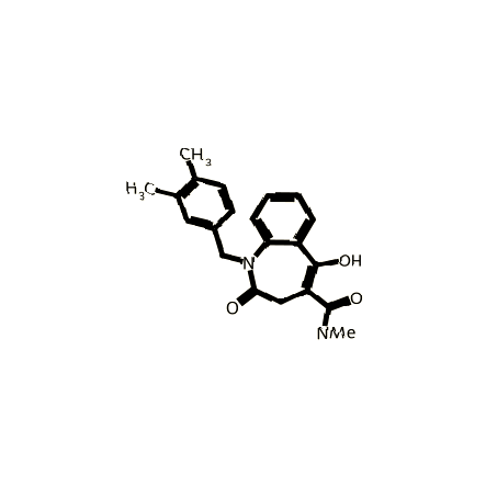 CNC(=O)C1=C(O)c2ccccc2N(Cc2ccc(C)c(C)c2)C(=O)C1